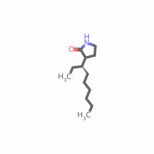 CCCCCC[C@@H](CC)C1CCNC1=O